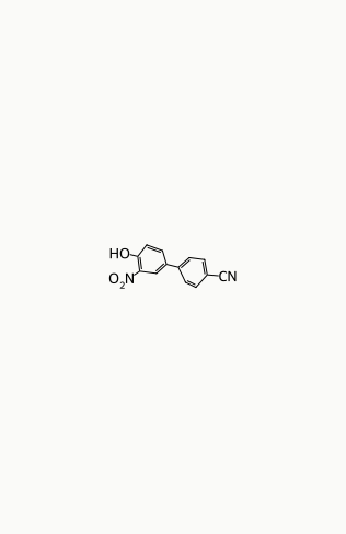 N#Cc1ccc(-c2ccc(O)c([N+](=O)[O-])c2)cc1